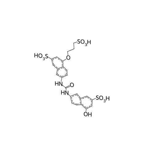 O=C(Nc1ccc2c(O)cc(S(=O)(=O)O)cc2c1)Nc1ccc2c(OCCCS(=O)(=O)O)cc(S(=O)(=O)O)cc2c1